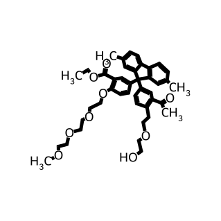 CCOC(=O)c1cc(C2(c3ccc(CCOCCO)c(C(C)=O)c3)c3cc(C)ccc3-c3ccc(C)cc32)ccc1OCCOCCOCCOC